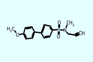 C#CCN(C)S(=O)(=O)c1ccc(-c2ccc(OC)cc2)cc1